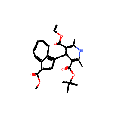 CCOC(=O)C1=C(C)NC(C)=C(C(=O)OC(C)(C)C)C1c1cc(C(=O)OC)c2cccccc1-2